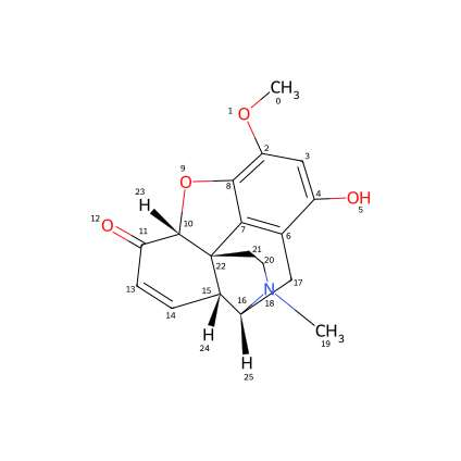 COc1cc(O)c2c3c1O[C@H]1C(=O)C=C[C@H]4[C@@H](C2)N(C)CC[C@]314